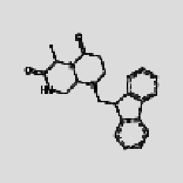 CC1C(=O)NCC2N(CC3c4ccccc4-c4ccccc43)CCC(=O)N12